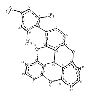 FC(F)(F)c1cc(C(F)(F)F)c(-c2ccc3c4c2Oc2ncnc5c2B4c2c(ncnc2O5)O3)c(C(F)(F)F)c1